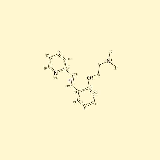 CN(C)CCOc1ccccc1/C=C/c1ccccn1